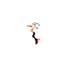 CS(=O)(=O)OCCC1CO1